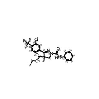 CCOC(=O)C1(C)CN(C(=O)Nc2ccccc2)N=C1c1ccc(C(F)(F)F)c(Cl)c1